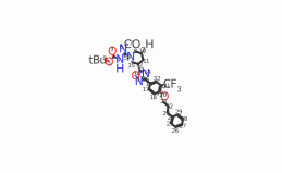 CC(C)(C)OC(=O)N/C(=N/C(=O)O)N1CCC[C@@H](c2nc(-c3ccc(OCCCc4ccccc4)c(C(F)(F)F)c3)no2)C1